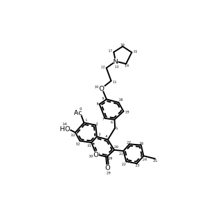 CC(=O)c1cc2c(Cc3ccc(OCCN4CCCC4)cc3)c(-c3ccc(C)cc3)c(=O)oc2cc1O